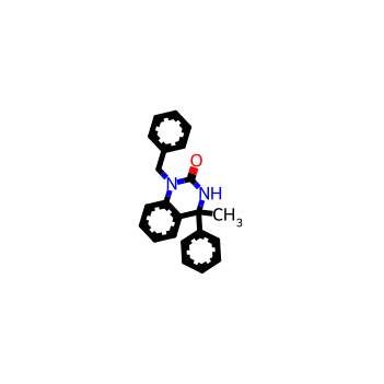 CC1(c2ccccc2)NC(=O)N(Cc2ccccc2)c2ccccc21